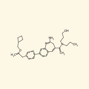 C=C(Cc1ccc(-c2ccc3c(c2)N=C(N)CC(C(=C)N(CCC)CCCO)=C3)cc1)OCC1CCC1